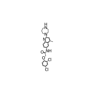 Cc1cc(N2CCCNCC2)nc2ccc(NC(=O)COc3ccc(Cl)cc3Cl)cc12